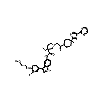 COCCOc1ccc(-c2n[nH]c3ccc(NC(=O)[C@]4(SC)CCN(CC(=O)N5CCC(F)(c6ncc(-c7ncccn7)s6)CC5)C4)cc23)cc1F